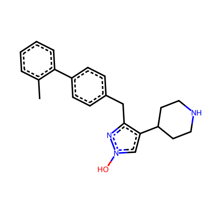 Cc1ccccc1-c1ccc(Cc2nn(O)cc2C2CCNCC2)cc1